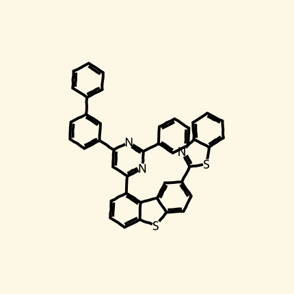 c1ccc(-c2cccc(-c3cc(-c4cccc5sc6ccc(-c7nc8ccccc8s7)cc6c45)nc(-c4ccccc4)n3)c2)cc1